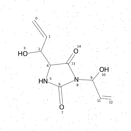 C=CC(O)C1NC(=O)N(C(O)C=C)C1=O